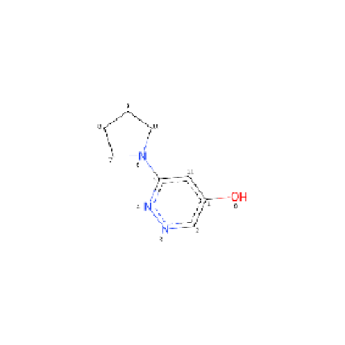 Oc1cnnc(N2CCCC2)c1